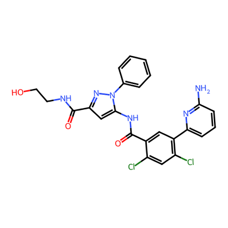 Nc1cccc(-c2cc(C(=O)Nc3cc(C(=O)NCCO)nn3-c3ccccc3)c(Cl)cc2Cl)n1